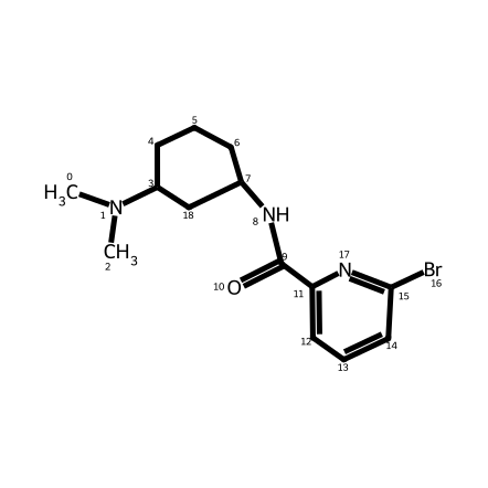 CN(C)C1CCCC(NC(=O)c2cccc(Br)n2)C1